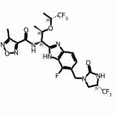 Cc1nonc1C(=O)N[C@H](c1nc2ccc(CN3C[C@@H](C(F)(F)F)NC3=O)c(F)c2[nH]1)[C@@H](C)O[C@H](C)C(F)(F)F